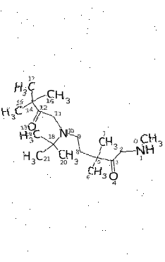 CNCC(=O)C(C)(C)CCN(CC(=O)C(C)(C)C)C(C)(C)C